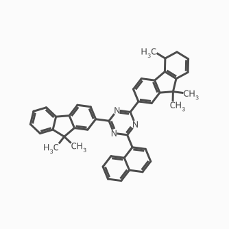 CC1CC=CC2=C1c1ccc(-c3nc(-c4ccc5c(c4)C(C)(C)c4ccccc4-5)nc(-c4cccc5ccccc45)n3)cc1C2(C)C